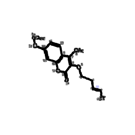 CC/C=C/CCOc1c(OC(C)=O)c2ccc(OCCCCCCCCCC)cc2oc1=O